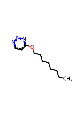 CCCCCCCCOc1ccnnn1